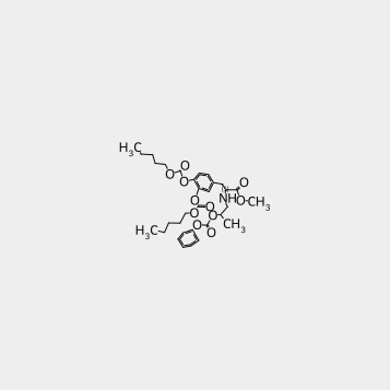 CCCCCOC(=O)Oc1ccc(C[C@H](NCC(C)OC(=O)Oc2ccccc2)C(=O)OC)cc1OC(=O)OCCCCC